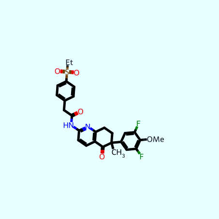 CCS(=O)(=O)c1ccc(CC(=O)Nc2ccc3c(n2)CCC(C)(c2cc(F)c(OC)c(F)c2)C3=O)cc1